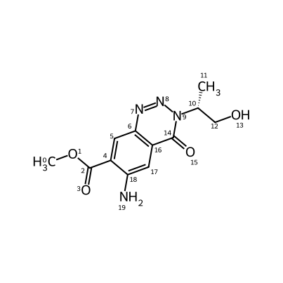 COC(=O)c1cc2nnn([C@H](C)CO)c(=O)c2cc1N